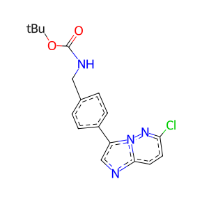 CC(C)(C)OC(=O)NCc1ccc(-c2cnc3ccc(Cl)nn23)cc1